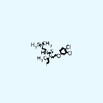 CC(CI)N(CCOc1ccc(Cl)c(Cl)c1)C(=S)NCCN(C)C